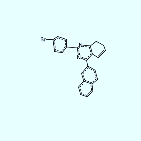 Brc1ccc(-c2nc3c(c(-c4ccc5ccccc5c4)n2)C=CCC3)cc1